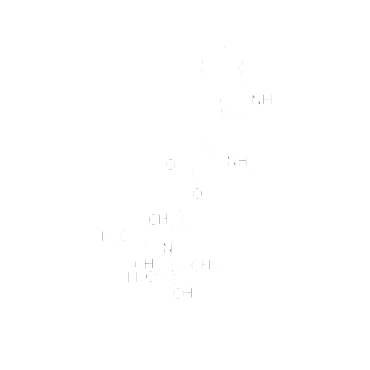 CC(C)(C)N(CCOC(=O)C(N)Cc1c[nH]c2ccccc12)C(C)(C)C